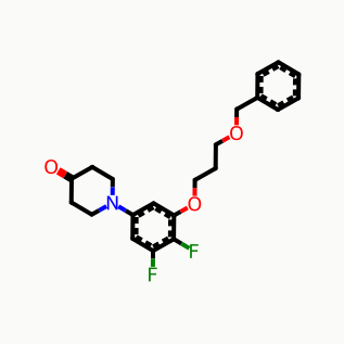 O=C1CCN(c2cc(F)c(F)c(OCCCOCc3ccccc3)c2)CC1